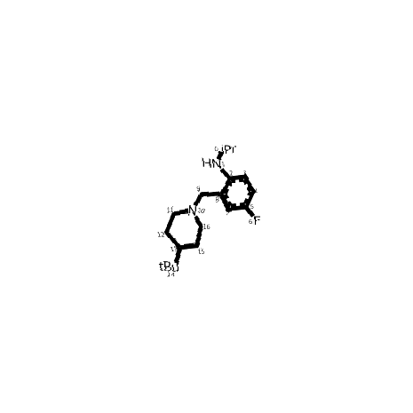 CC(C)Nc1ccc(F)cc1CN1CCC(C(C)(C)C)CC1